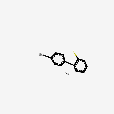 N#Cc1ccc(-c2ccccc2[S-])cc1.[Na+]